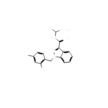 CC(C)C(NC(=O)c1nn(Cc2ccc(Cl)cc2Cl)c2ccccc12)C(=O)O